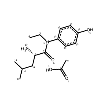 CC(=O)O.CCN(C(=O)[C@@H](N)CC(C)C)c1ccc(O)cc1